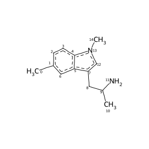 Cc1ccc2c(c1)c(CC(C)N)cn2C